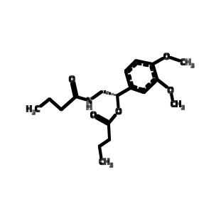 CCCC(=O)NC[C@@H](OC(=O)CCC)c1ccc(OC)c(OC)c1